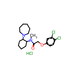 CN(C(=O)COc1ccc(Cl)c(Cl)c1)C1CCCCC1N1CCCCCC1.Cl